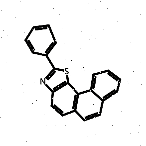 c1ccc(-c2nc3ccc4ccc5ccccc5c4c3s2)cc1